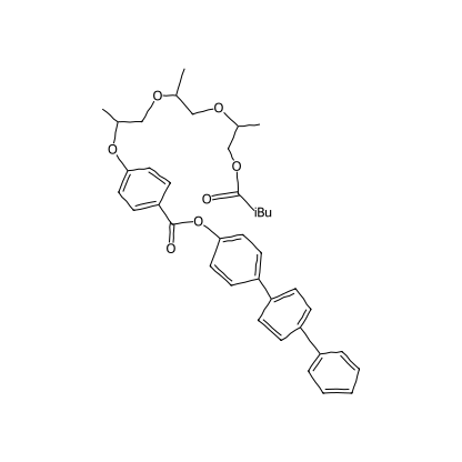 CCC(C)C(=O)OCC(C)OCC(C)OCC(C)Oc1ccc(C(=O)Oc2ccc(-c3ccc(-c4ccccc4)cc3)cc2)cc1